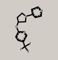 FC(F)(F)c1ccc(OC2CCN(c3ccncc3)C2)nc1